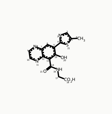 Cc1cnc(-c2cc3nccnc3c(C(=O)NCC(=O)O)c2O)s1